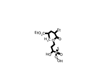 CCOC(=O)C(C)CC(CC)C(=O)OCCC(O)S(=O)(=S)OO